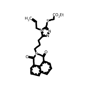 C=CCn1c(CCCN2C(=O)c3cccc4cccc(c34)C2=O)nnc1SCC(=O)OCC